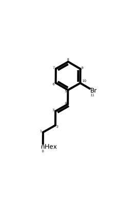 CCCCCCCC/C=C/c1ccccc1Br